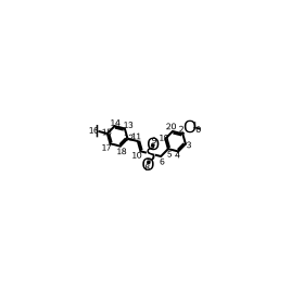 COc1ccc(CS(=O)(=O)C=Cc2ccc(I)cc2)cc1